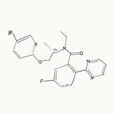 CCN(C(=O)c1cc(F)ccc1-c1ncccn1)[C@@H](C)COc1ccc(Br)cn1